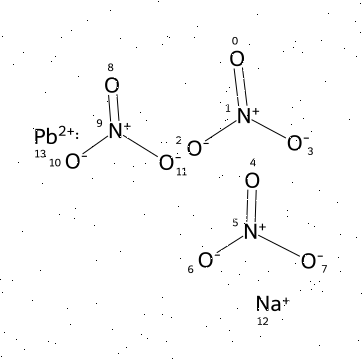 O=[N+]([O-])[O-].O=[N+]([O-])[O-].O=[N+]([O-])[O-].[Na+].[Pb+2]